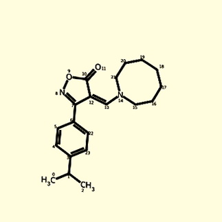 CC(C)c1ccc(C2=NOC(=O)C2=CN2CCCCCCC2)cc1